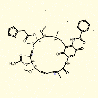 CO[C@H]1/C=C\C=C(/C)C(=O)NC2=CC(=O)C(NC(=O)c3ccccc3)=C(C[C@@H](C)C[C@H](OC)[C@@H](OC(=O)Cc3cccs3)[C@@H](C)/C=C(\C)[C@@H]1OC(N)=O)C2=O